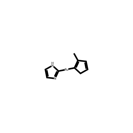 CC1=[C]([Ru][c]2ncc[nH]2)CC=C1